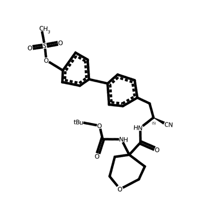 CC(C)(C)OC(=O)NC1(C(=O)N[C@H](C#N)Cc2ccc(-c3ccc(OS(C)(=O)=O)cc3)cc2)CCOCC1